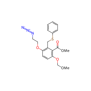 COCOc1ccc(OCCN=[N+]=[N-])c(CSc2ccccc2)c1C(=O)OC